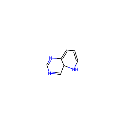 C1=CNC2C=NC=NC2=C1